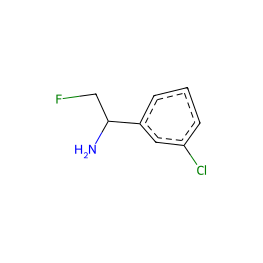 NC(CF)c1cccc(Cl)c1